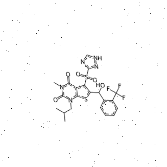 CC(C)Cn1c(=O)n(C)c(=O)c2c(S(=O)(=O)c3nc[nH]n3)c(C(O)c3ccccc3C(F)(F)F)sc21